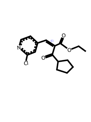 CCOC(=O)/C(=C/c1ccnc(Cl)c1)C(=O)C1CCCC1